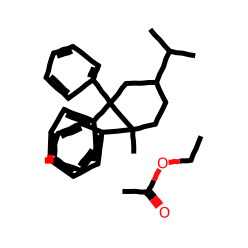 CC(C)C1CCC(C)(c2ccccc2)C(c2ccccc2)(c2ccccc2)C1.CCOC(C)=O